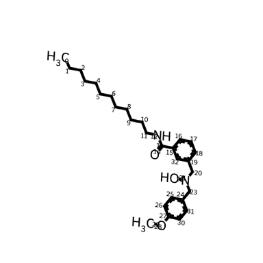 CCCCCCCCCCCCNC(=O)c1cccc(CN(O)Cc2ccc(OC)cc2)c1